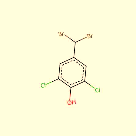 Oc1c(Cl)cc(C(Br)Br)cc1Cl